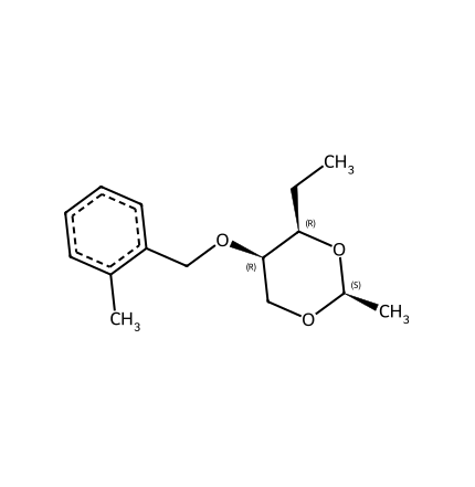 CC[C@H]1O[C@@H](C)OC[C@H]1OCc1ccccc1C